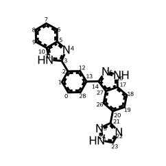 c1cc(-c2nc3ccccc3[nH]2)cc(-c2n[nH]c3ccc(-c4nc[nH]n4)cc23)c1